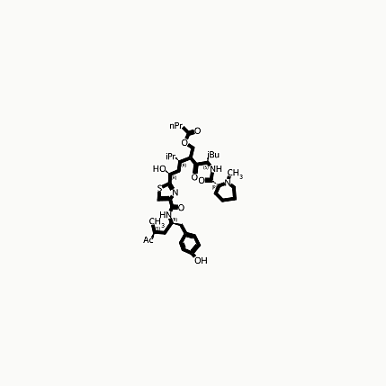 CCCC(=O)OCC(C(=O)[C@@H](NC(=O)[C@H]1CCCCN1C)C(C)CC)[C@H](C[C@@H](O)c1nc(C(=O)N[C@@H](Cc2ccc(O)cc2)C[C@H](C)C(C)=O)cs1)C(C)C